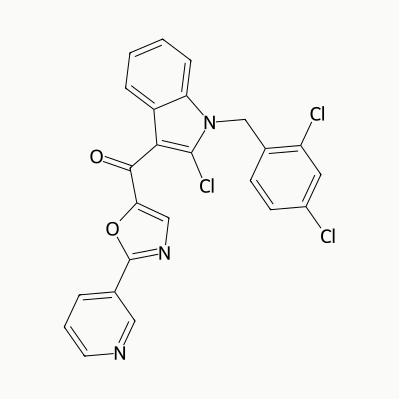 O=C(c1cnc(-c2cccnc2)o1)c1c(Cl)n(Cc2ccc(Cl)cc2Cl)c2ccccc12